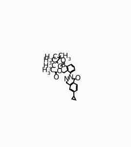 CC(=O)OCc1c(B2OC(C)(C)C(C)(C)O2)cccc1-n1ncc2cc(C3CC3)ccc2c1=O